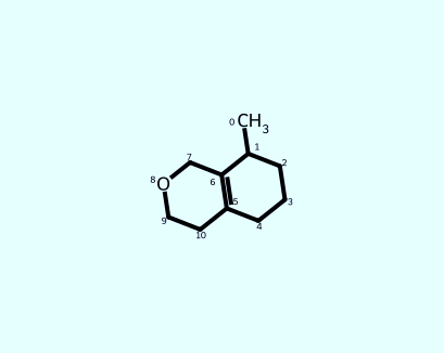 CC1CCCC2=C1COCC2